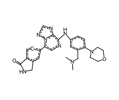 CN(C)Cc1cc(Nc2ncc(-c3ccc4c(c3)CNC4=O)n3ncnc23)ccc1N1CCOCC1